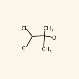 CC(C)([O])C(Cl)Cl